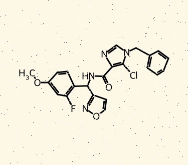 COc1ccc(C(NC(=O)c2ncn(Cc3ccccc3)c2Cl)c2ccon2)c(F)c1